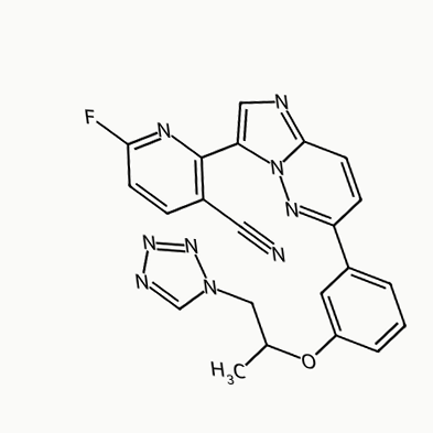 CC(Cn1cnnn1)Oc1cccc(-c2ccc3ncc(-c4nc(F)ccc4C#N)n3n2)c1